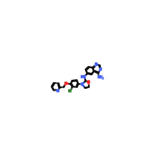 Nc1ncnc2ccc(NC3OCCN3c3ccc(OCc4ccccn4)c(Cl)c3)cc12